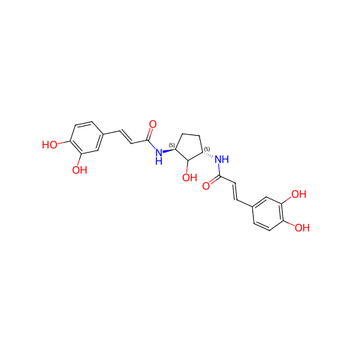 O=C(C=Cc1ccc(O)c(O)c1)N[C@H]1CC[C@H](NC(=O)C=Cc2ccc(O)c(O)c2)C1O